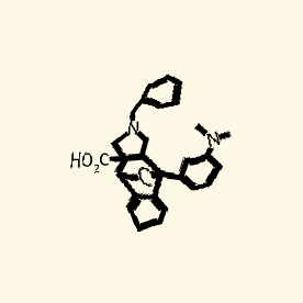 CN(C)c1cccc(C23CCC(c4ccccc42)C2(C(=O)O)CN(Cc4ccccc4)CC32)c1